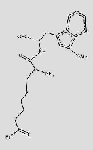 CCC(=O)CCCCCC(N)C(=O)N[C@H]([C]=O)Cc1cn(OC)c2ccccc12